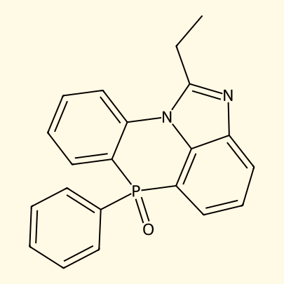 CCc1nc2cccc3c2n1-c1ccccc1P3(=O)c1ccccc1